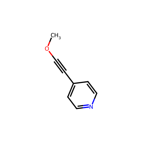 COC#Cc1ccncc1